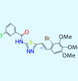 COc1cc(/C=C/c2nnc(NC(=O)c3cccc(Cl)c3)s2)c(Br)c(OC)c1OC